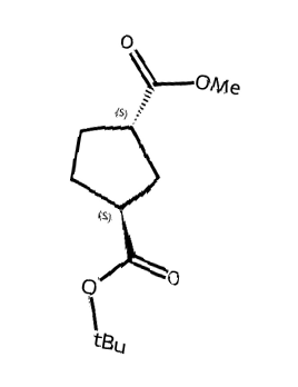 COC(=O)[C@H]1CC[C@H](C(=O)OC(C)(C)C)C1